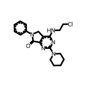 O=C1c2nc(N3CCCCC3)nc(NCCCl)c2CN1c1ccccc1